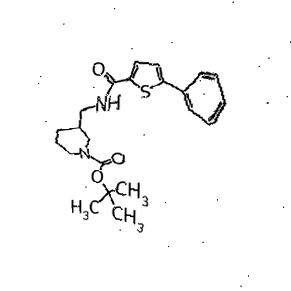 CC(C)(C)OC(=O)N1CCCC(CNC(=O)c2ccc(-c3ccccc3)s2)C1